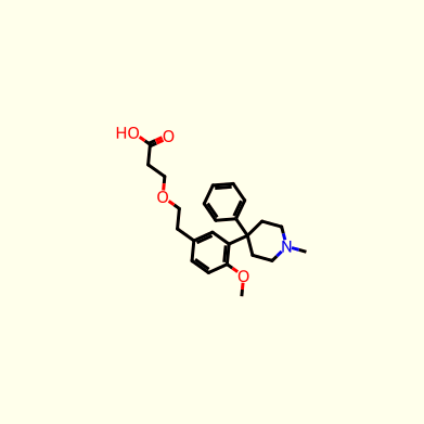 COc1ccc(CCOCCC(=O)O)cc1C1(c2ccccc2)CCN(C)CC1